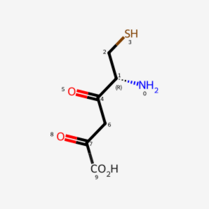 N[C@@H](CS)C(=O)CC(=O)C(=O)O